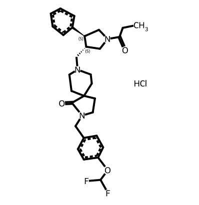 CCC(=O)N1C[C@H](CN2CCC3(CC2)CCN(Cc2ccc(OC(F)F)cc2)C3=O)[C@@H](c2ccccc2)C1.Cl